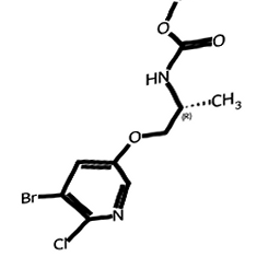 C[C@H](COc1cnc(Cl)c(Br)c1)NC(=O)OC(C)(C)C